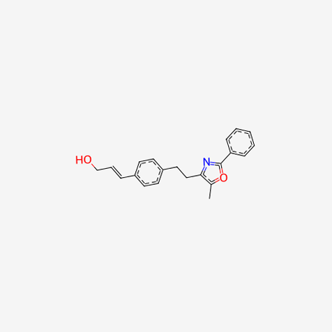 Cc1oc(-c2ccccc2)nc1CCc1ccc(/C=C/CO)cc1